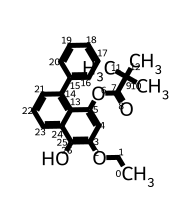 CCOc1cc(OC(=O)C(C)(C)C)c2c(-c3ccccc3)cccc2c1O